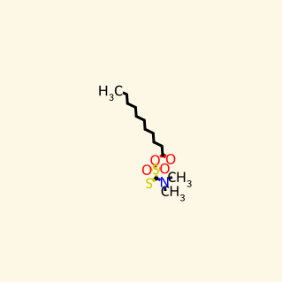 CCCCCCCCCCC(=O)OS(=O)(=O)C(=S)N(C)C